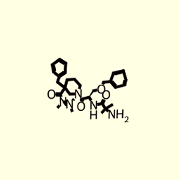 CN(C)N(C)C(=O)C1(Cc2ccccc2)CCCN(C(=O)[C@@H](COCc2ccccc2)NC(=O)C(C)(C)N)C1